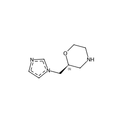 c1cn(C[C@@H]2CNCCO2)cn1